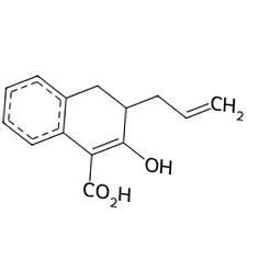 C=CCC1Cc2ccccc2C(C(=O)O)=C1O